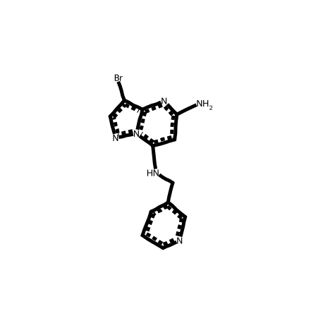 Nc1cc(NCc2cccnc2)n2ncc(Br)c2n1